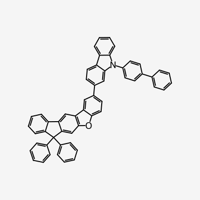 c1ccc(-c2ccc(-n3c4ccccc4c4ccc(-c5ccc6oc7cc8c(cc7c6c5)-c5ccccc5C8(c5ccccc5)c5ccccc5)cc43)cc2)cc1